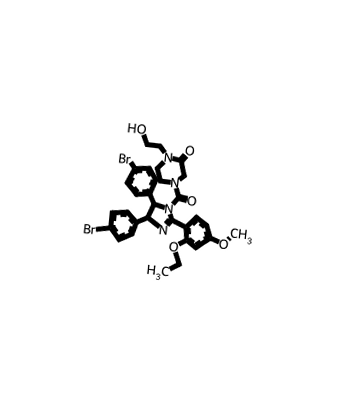 CCOc1cc(OC)ccc1C1=NC(c2ccc(Br)cc2)C(c2ccc(Br)cc2)N1C(=O)N1CCN(CCO)C(=O)C1